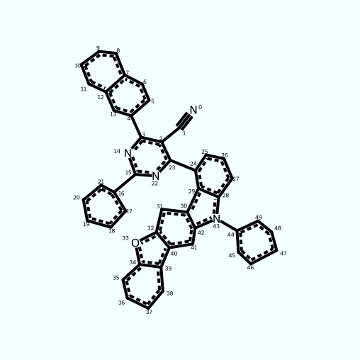 N#Cc1c(-c2ccc3ccccc3c2)nc(-c2ccccc2)nc1-c1cccc2c1c1cc3oc4ccccc4c3cc1n2-c1ccccc1